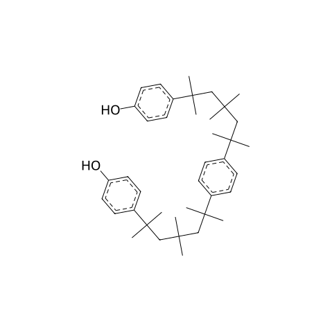 CC(C)(CC(C)(C)c1ccc(O)cc1)CC(C)(C)c1ccc(C(C)(C)CC(C)(C)CC(C)(C)c2ccc(O)cc2)cc1